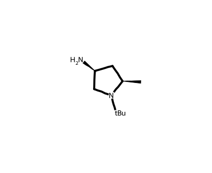 C[C@@H]1C[C@H](N)CN1C(C)(C)C